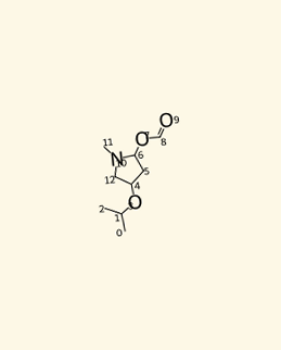 CC(C)OC1CC(OC=O)N(C)C1